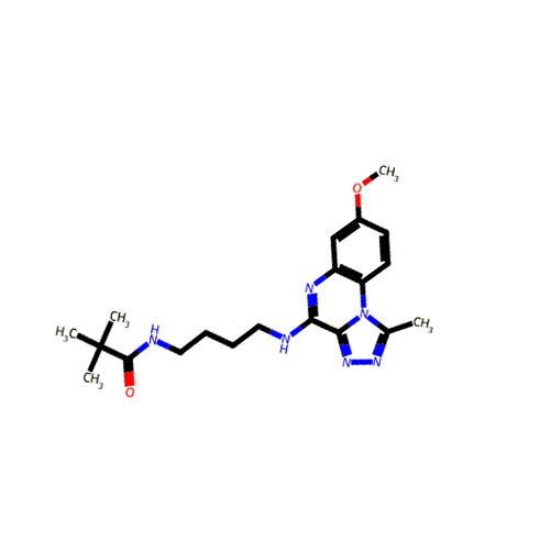 COc1ccc2c(c1)nc(NCCCCNC(=O)C(C)(C)C)c1nnc(C)n12